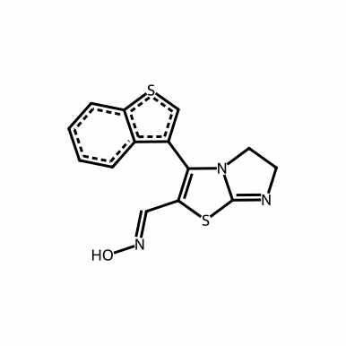 ON=CC1=C(c2csc3ccccc23)N2CCN=C2S1